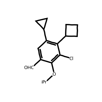 CC(C)Oc1c(C=O)cc(C2CC2)c(C2CCC2)c1Cl